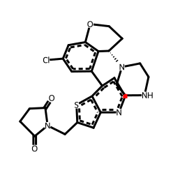 O=C1CCC(=O)N1Cc1cc2nccc(-c3cc(Cl)cc4c3[C@@H](N3CCNCC3)CCO4)c2s1